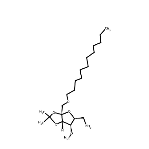 CCCCCCCCCCCCOC[C@@]12O[C@@H](CN)[C@@H](OC)[C@@H]1OC(C)(C)O2